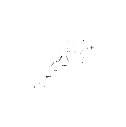 O=C(/C=C/c1ccc2cc(O[C@H]3O[C@H](CO)[C@@H](O)C(O)C3O)ccc2c1)NO